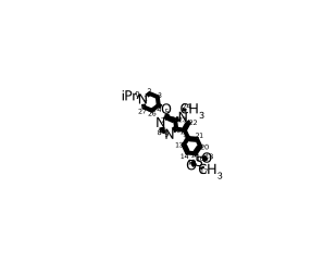 CC(C)N1CCC(Oc2ncnc3c(-c4ccc(S(C)(=O)=O)cc4)cn(C)c23)CC1